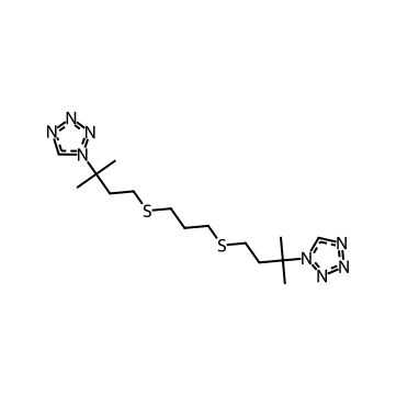 CC(C)(CCSCCCSCCC(C)(C)n1cnnn1)n1cnnn1